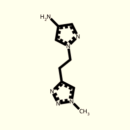 Cn1cc(CCn2cc(N)cn2)nn1